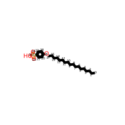 CCCCCCCCCCCCCCCCCCOc1ccc(S(=O)(=O)O)cc1